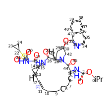 CC(C)OC(=O)N[C@H]1CCCCC/C=C\[C@@H]2C[C@@]2(C(=O)NS(=O)(=O)C2CC2)NC(=O)[C@@H]2C[C@@H](Oc3nccc4ccccc34)CN2C1=O